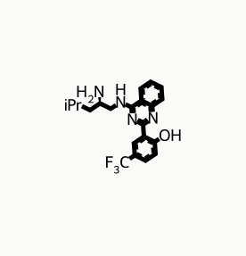 CC(C)C[C@@H](N)CNc1nc(-c2cc(C(F)(F)F)ccc2O)nc2ccccc12